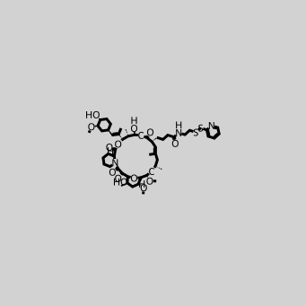 CO[C@H]1C[C@@H](C)C/C(C)=C/[C@@H](CCCC(=O)NCCSSc2ccccn2)C(=O)C[C@H](O)[C@@H](C)[C@@H](/C(C)=C/[C@@H]2CC[C@@H](O)[C@H](OC)C2)OC(=O)[C@@H]2CCCCN2C(=O)C(=O)[C@]2(O)O[C@H]1[C@@H](OC)C[C@H]2C